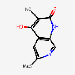 CSc1cc2c(O)c(C#N)c(=O)[nH]c2cn1